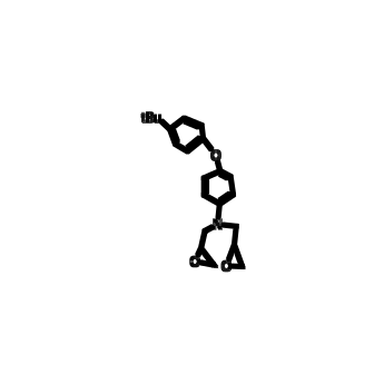 CC(C)(C)c1ccc(Oc2ccc(N(CC3CO3)CC3CO3)cc2)cc1